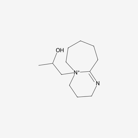 CC(O)C[N+]12CCCCCC1=NCCC2